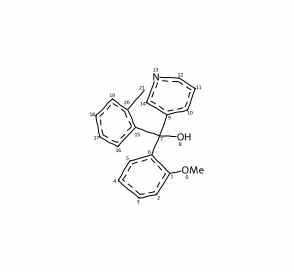 COc1ccccc1C(O)(c1cccnc1)c1ccccc1C